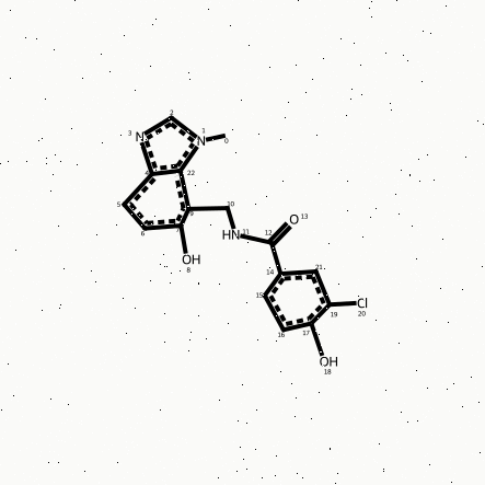 Cn1cnc2ccc(O)c(CNC(=O)c3ccc(O)c(Cl)c3)c21